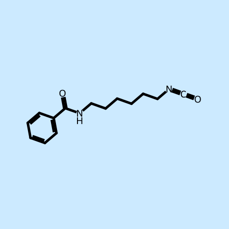 O=C=NCCCCCCNC(=O)c1ccccc1